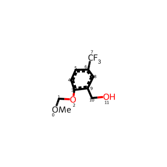 COCOc1ccc(C(F)(F)F)cc1CO